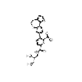 O=C(NCC(O)CO)c1ccc(-c2ccc3c(c2)OCCc2ccsc2-3)c(C(=O)O)n1